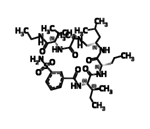 CCC[C@H](NC(=O)[C@@H](NC(=O)c1cccc(S(N)(=O)=O)c1)[C@@H](C)CC)C(=O)N[C@H](CN[C@@H](C)C(=O)N[C@H](C(=O)NCC)C(C)C)CC(C)C